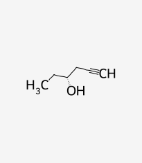 C#CC[C@H](O)CC